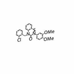 COc1ccc(N2Sc3ccccc3N(Cc3ccccc3Cl)C2=O)cc1OC